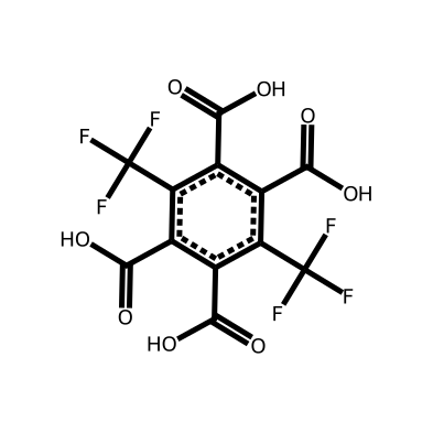 O=C(O)c1c(C(=O)O)c(C(F)(F)F)c(C(=O)O)c(C(=O)O)c1C(F)(F)F